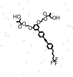 C=C(CO)C(=O)OCCOc1cc(OCCOC(=O)C(=C)CO)cc(-c2ccc(C#Cc3ccc(CCCCC(F)(F)F)cc3)cc2)c1